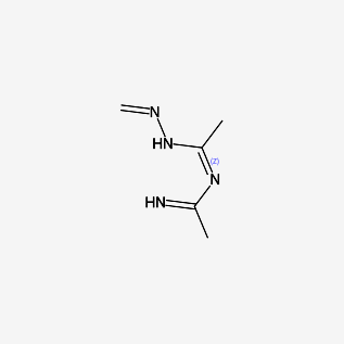 C=NN/C(C)=N\C(C)=N